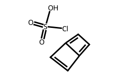 O=S(=O)(O)Cl.c1cc2ccc1-2